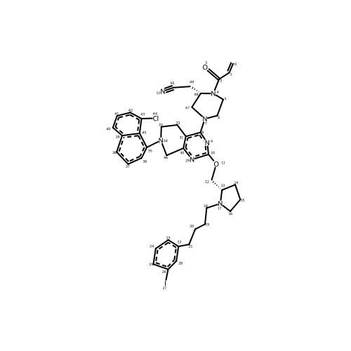 C=CC(=O)N1CCN(c2nc(OC[C@@H]3CCCN3CCCCc3cccc(I)c3)nc3c2CCN(c2cccc4cccc(Cl)c24)C3)C[C@@H]1CC#N